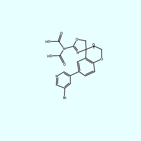 O=C(O)N(C(=O)O)C1=NC2(CO1)c1cc(-c3cncc(Br)c3)ccc1OCC21COC1